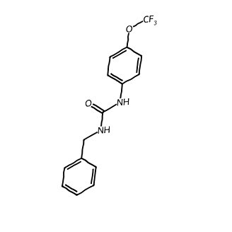 O=C(NCc1ccccc1)Nc1ccc(OC(F)(F)F)cc1